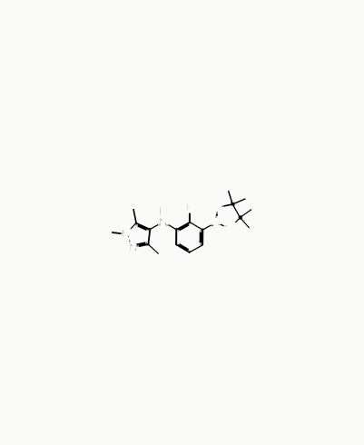 Cc1nn(C)c(C)c1Nc1cccc(B2OC(C)(C)C(C)(C)O2)c1F